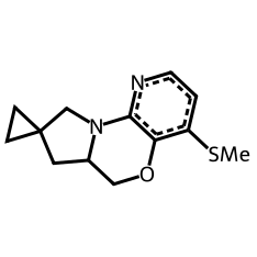 CSc1ccnc2c1OCC1CC3(CC3)CN21